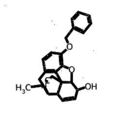 CN1CCC23c4c5ccc(OCc6ccccc6)c4OC2C(O)C=CC3C1C5